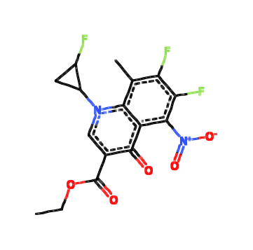 CCOC(=O)c1cn(C2CC2F)c2c(C)c(F)c(F)c([N+](=O)[O-])c2c1=O